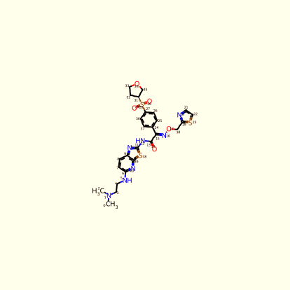 CN(C)CCNc1ccc2nc(NC(=O)/C(=N/OCc3nccs3)c3ccc(S(=O)(=O)[C@H]4CCOC4)cc3)sc2n1